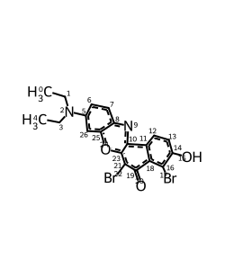 CCN(CC)c1ccc2nc3c4ccc(O)c(Br)c4c(=O)c(Br)c-3oc2c1